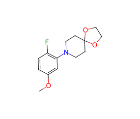 COc1ccc(F)c(N2CCC3(CC2)OCCO3)c1